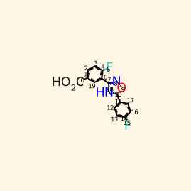 O=C(O)c1ccc(F)c(C2=NOC(c3ccc(F)cc3)N2)c1